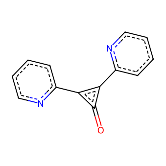 O=c1c(-c2ccccn2)c1-c1ccccn1